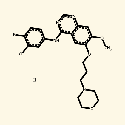 COc1cc2ncnc(Nc3ccc(F)c(Cl)c3)c2cc1OCCCN1CCOCC1.Cl